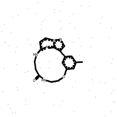 Cc1cc2cc(c1)-c1cnn3ccc(nc13)NCCC(=O)NCCO2